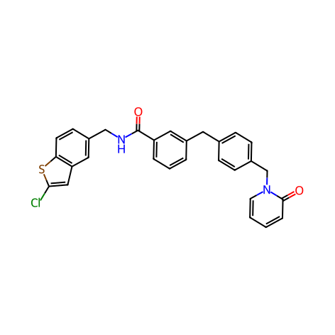 O=C(NCc1ccc2sc(Cl)cc2c1)c1cccc(Cc2ccc(Cn3ccccc3=O)cc2)c1